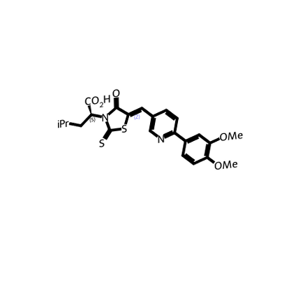 COc1ccc(-c2ccc(/C=C3\SC(=S)N([C@@H](CC(C)C)C(=O)O)C3=O)cn2)cc1OC